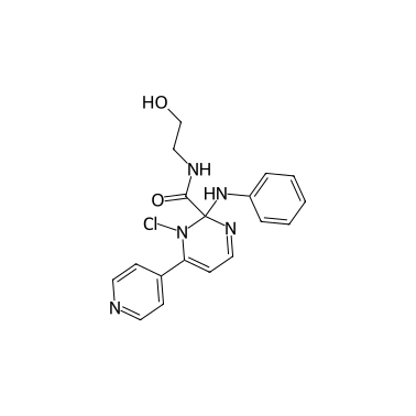 O=C(NCCO)C1(Nc2ccccc2)N=CC=C(c2ccncc2)N1Cl